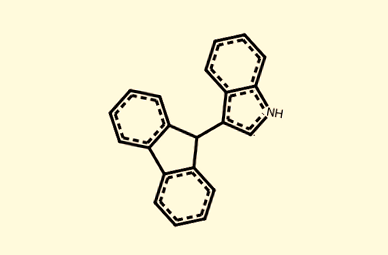 [c]1[nH]c2ccccc2c1C1c2ccccc2-c2ccccc21